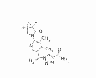 Cc1c([C@H](C)n2cc(C(N)=O)nn2)cnc(N2C[C@H]3C[C@H]3C2=O)c1C